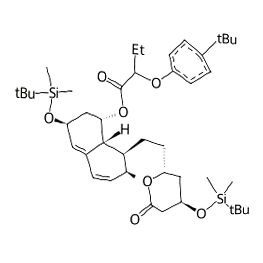 CCC(Oc1ccc(C(C)(C)C)cc1)C(=O)O[C@H]1C[C@H](O[Si](C)(C)C(C)(C)C)C=C2C=C[C@H](C)[C@H](CC[C@@H]3C[C@@H](O[Si](C)(C)C(C)(C)C)CC(=O)O3)[C@H]21